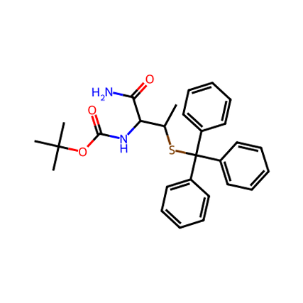 CC(SC(c1ccccc1)(c1ccccc1)c1ccccc1)C(NC(=O)OC(C)(C)C)C(N)=O